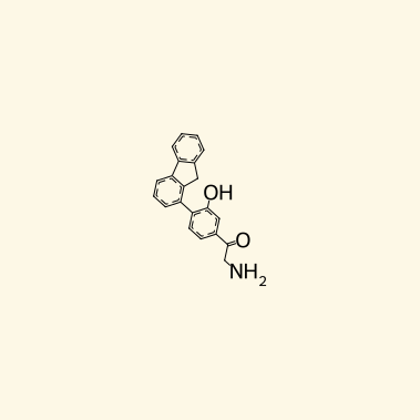 NCC(=O)c1ccc(-c2cccc3c2Cc2ccccc2-3)c(O)c1